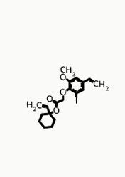 C=Cc1cc(I)c(OCC(=O)OC2(C=C)CCCCC2)c(OC)c1